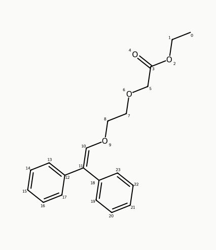 CCOC(=O)COCCOC=C(c1ccccc1)c1ccccc1